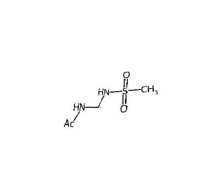 CC(=O)N[CH]NS(C)(=O)=O